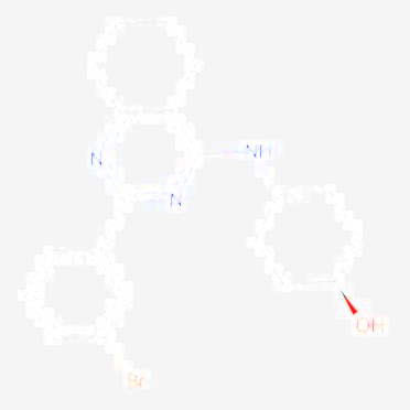 O[C@H]1CC[C@H](Nc2nc(-c3cccc(Br)c3)nc3c2CCCC3)CC1